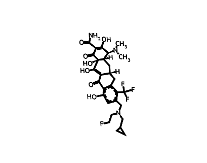 CN(C)[C@@H]1C(O)=C(C(N)=O)C(=O)[C@@]2(O)C(O)=C3C(=O)c4c(O)cc(CN(CCF)CC5CC5)c(C(F)(F)F)c4C[C@H]3C[C@@H]12